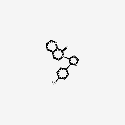 O=c1c2ncccc2ccn1-c1ocnc1-c1ccc(C(F)(F)F)cc1